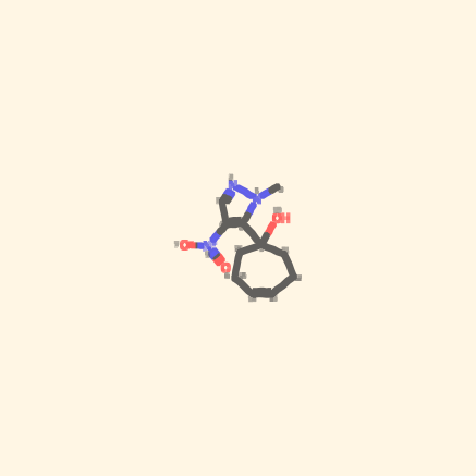 Cn1ncc([N+](=O)[O-])c1C1(O)CCC=CCC1